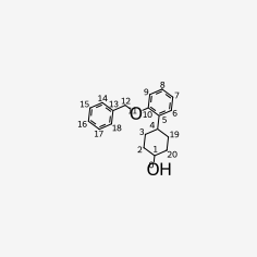 OC1CCC(c2ccccc2OCc2ccccc2)CC1